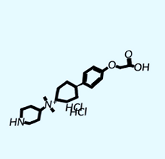 C[N+](C)(C1CCNCC1)[C@H]1CC[C@H](c2ccc(OCC(=O)O)cc2)CC1.Cl.Cl